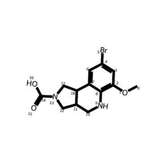 COc1cc(Br)cc2c1NCC1CN(C(=O)O)CC21